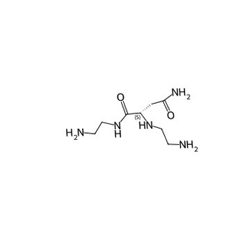 NCCNC(=O)[C@H](CC(N)=O)NCCN